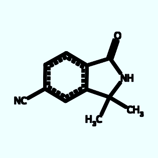 CC1(C)NC(=O)c2ccc(C#N)cc21